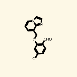 O=Cc1ccc(Cl)cc1OCc1cccn2ccnc12